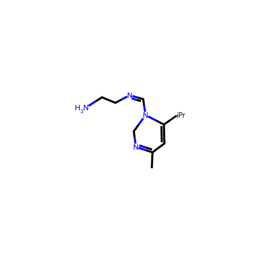 CC1=NCN(/C=N\CCN)C(C(C)C)=C1